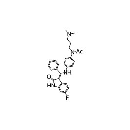 CC(=O)N(CCCN(C)C)c1ccc(NC(=C2C(=O)Nc3cc(F)ccc32)c2ccccc2)cc1